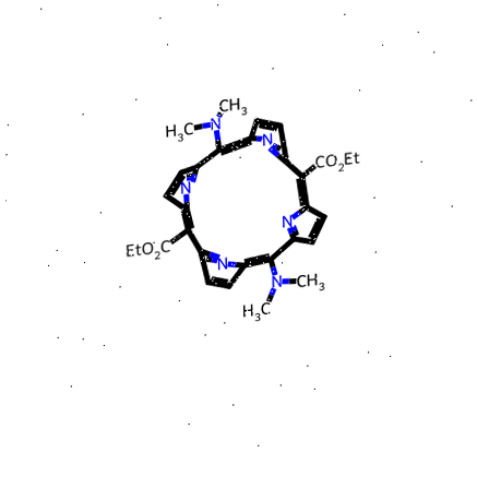 CCOC(=O)C1=C2C=CC(=N2)C(N(C)C)=C2C=CC(=N2)C(C(=O)OCC)=C2C=CC(=N2)C(N(C)C)=C2C=CC1=N2